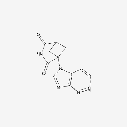 O=C1NC(=O)C2(n3cnc4nnccc43)CC1C2